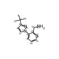 CC(C)(C)c1ccn(-c2cccnc2CN)n1